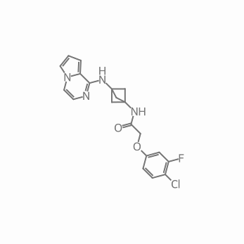 O=C(COc1ccc(Cl)c(F)c1)NC12CC(Nc3nccn4cccc34)(C1)C2